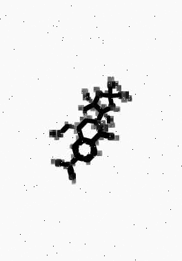 CC[C@@H](c1cc([N+](=O)[O-])ccc1C(=O)O)[C@@H]1C[C@H]2OC(C)(C)O[C@H]2O1